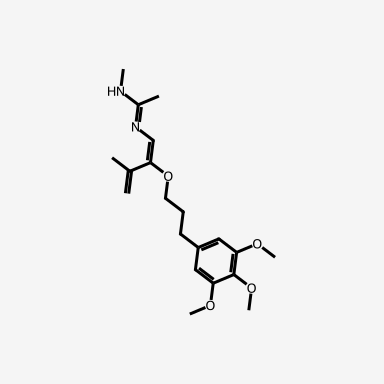 C=C(C)/C(=C\N=C(/C)NC)OCCCc1cc(OC)c(OC)c(OC)c1